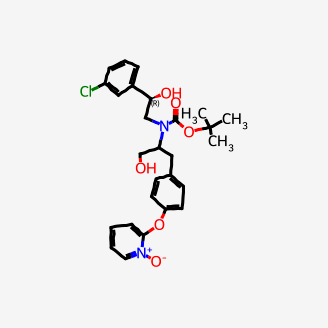 CC(C)(C)OC(=O)N(C[C@H](O)c1cccc(Cl)c1)C(CO)Cc1ccc(Oc2cccc[n+]2[O-])cc1